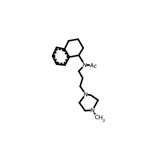 CC(=O)N(CCCN1CCN(C)CC1)C1CCCc2ccccc21